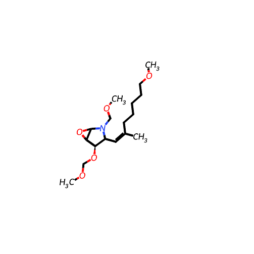 COCCCCC/C(C)=C\C1[C@@H](OCOC)C2OC2N1COC